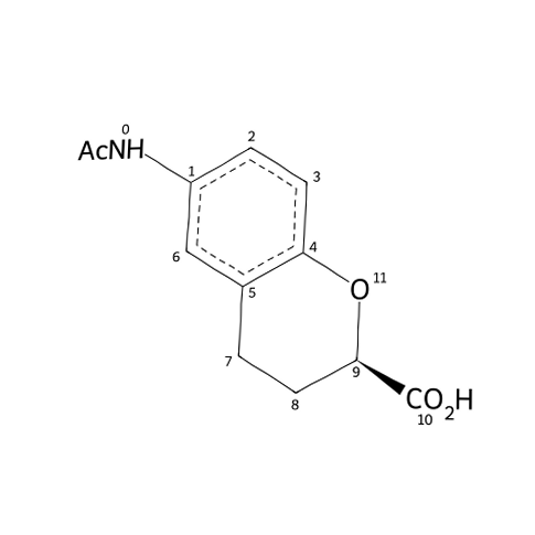 CC(=O)Nc1ccc2c(c1)CC[C@H](C(=O)O)O2